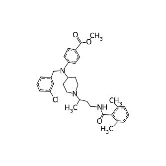 COC(=O)c1ccc(N(Cc2cccc(Cl)c2)C2CCN(C(C)CCNC(=O)c3c(C)cccc3C)CC2)cc1